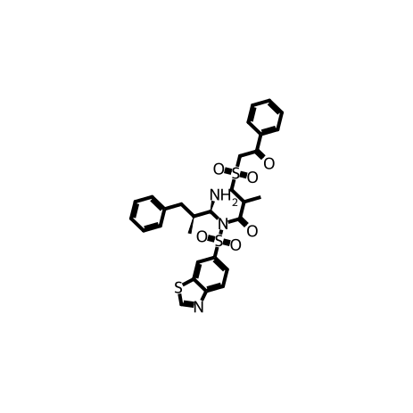 CC(CS(=O)(=O)CC(=O)c1ccccc1)C(=O)N([C@H](N)[C@@H](C)Cc1ccccc1)S(=O)(=O)c1ccc2ncsc2c1